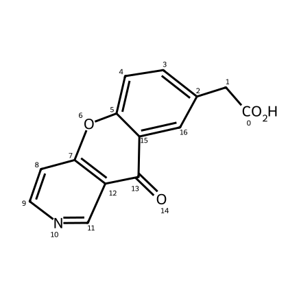 O=C(O)Cc1ccc2oc3ccncc3c(=O)c2c1